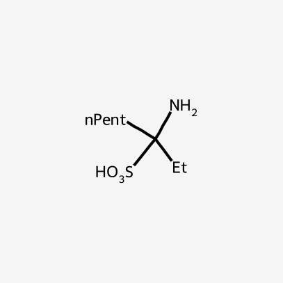 CCCCCC(N)(CC)S(=O)(=O)O